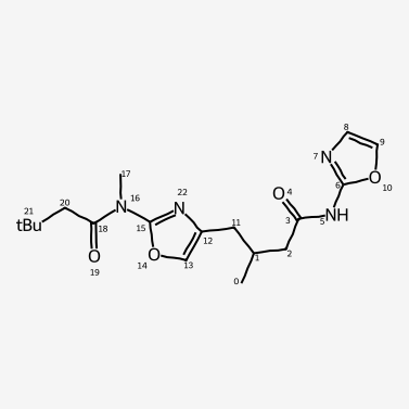 CC(CC(=O)Nc1ncco1)Cc1coc(N(C)C(=O)CC(C)(C)C)n1